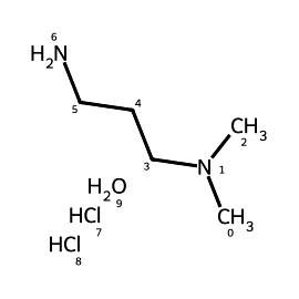 CN(C)CCCN.Cl.Cl.O